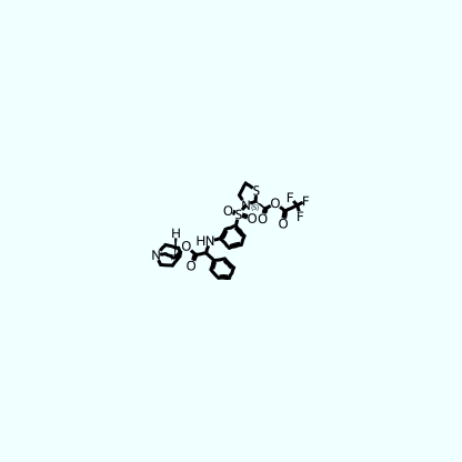 O=C(O[C@H]1CN2CCC1CC2)C(Nc1cccc(S(=O)(=O)N2CCS[C@H]2C(=O)OC(=O)C(F)(F)F)c1)c1ccccc1